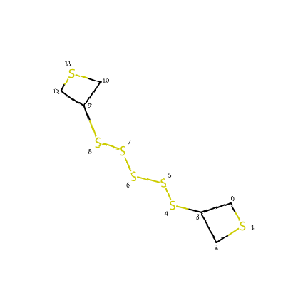 C1SCC1SSSSSC1CSC1